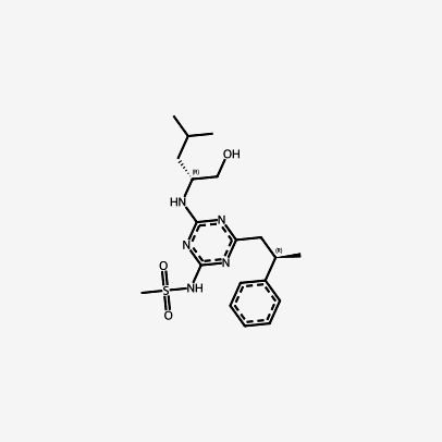 CC(C)C[C@H](CO)Nc1nc(C[C@@H](C)c2ccccc2)nc(NS(C)(=O)=O)n1